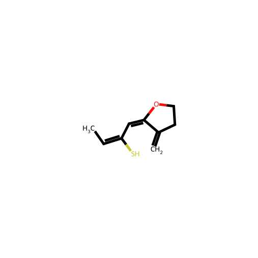 C=C1CCO/C1=C/C(S)=C\C